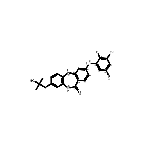 CC(C)(O)Cc1ccc2c(c1)NC(=O)c1ccc(Nc3cc(F)cc(F)c3F)cc1N2